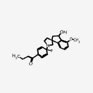 CCCC(=O)C1C=CC(F)(N2CCC3(CC(O)c4c(OC)cccc43)C2)C=C1